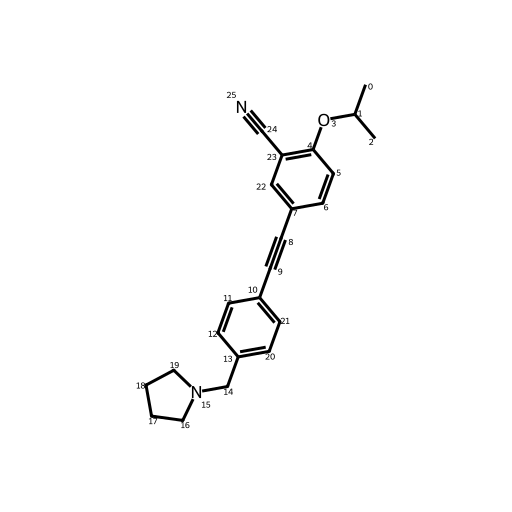 CC(C)Oc1ccc(C#Cc2ccc(CN3CCCC3)cc2)cc1C#N